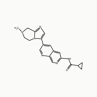 CN1CCn2c(-c3cnc4cnc(NC(=O)C5CC5)cc4c3)cnc2C1